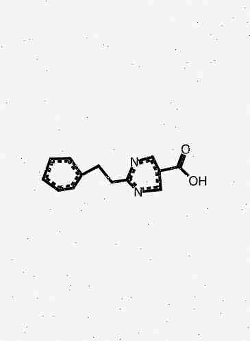 O=C(O)c1cnc(CCc2ccccc2)nc1